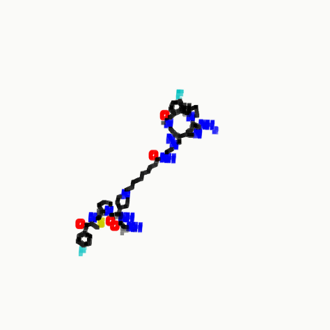 CN[C@H](C)C(=O)N[C@@H](C(=O)N1CCC[C@@H]1C1=NC(C(=O)c2ccc(F)cc2)CS1)C1CCN(CCCCCCCCC(=O)NCCn2cc3c(n2)CN(C)C(=O)c2ccc(F)cc2[C@H]2CCCN2c2cc-3cnc2N)CC1